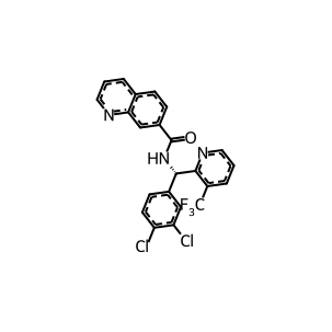 O=C(N[C@@H](c1ccc(Cl)c(Cl)c1)c1ncccc1C(F)(F)F)c1ccc2cccnc2c1